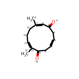 C/C1=C/C(=O)C/C=C\CC(=O)/C(C)=C\CC1